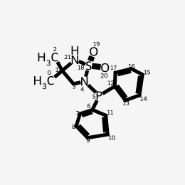 CC1(C)CN(P(c2ccccc2)c2ccccc2)S(=O)(=O)N1